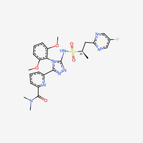 COc1cccc(OC)c1-n1c(NS(=O)(=O)[C@H](C)Cc2ncc(F)cn2)nnc1-c1cccc(C(=O)N(C)C)n1